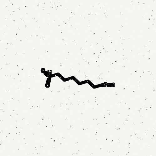 [CH2]CCCCCCCCCC[SH](=O)=O